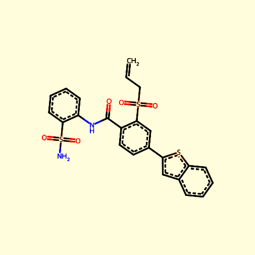 C=CCS(=O)(=O)c1cc(-c2cc3ccccc3s2)ccc1C(=O)Nc1ccccc1S(N)(=O)=O